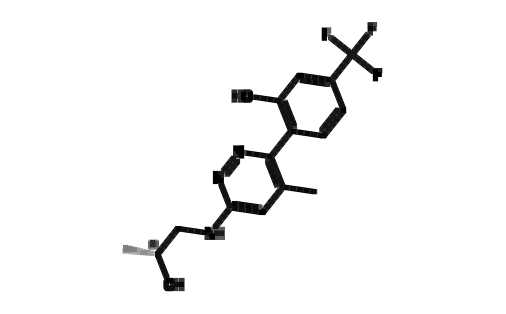 Cc1cc(NC[C@@H](C)O)nnc1-c1ccc(C(F)(F)F)cc1O